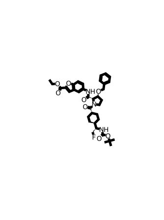 CCOC(=O)c1cc2cc(NC(=O)[C@@H]3[C@H](OCc4ccccc4)CCN3C(=O)[C@H]3CC[C@H]([C@@H](CF)NC(=O)OC(C)(C)C)CC3)ccc2o1